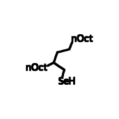 CCCCCCCCCCC(C[SeH])CCCCCCCC